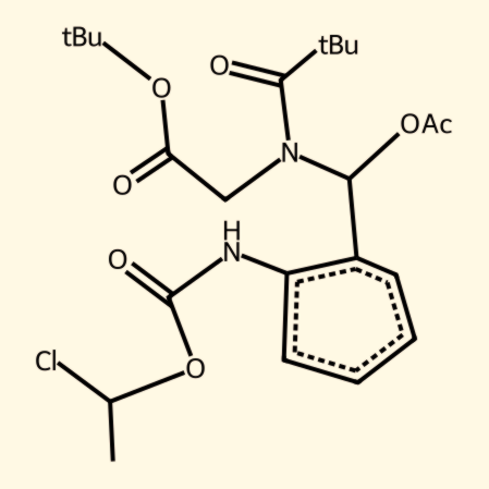 CC(=O)OC(c1ccccc1NC(=O)OC(C)Cl)N(CC(=O)OC(C)(C)C)C(=O)C(C)(C)C